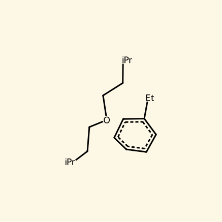 CC(C)CCOCCC(C)C.CCc1ccccc1